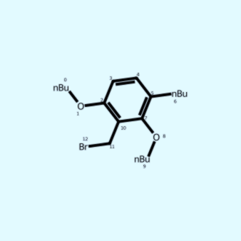 CCCCOc1ccc(CCCC)c(OCCCC)c1CBr